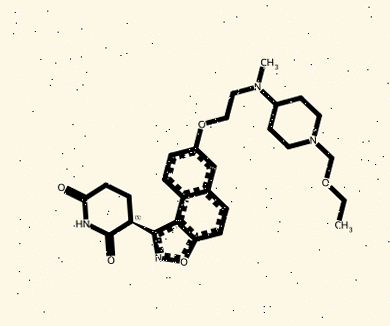 CCOCN1CCC(N(C)CCOc2ccc3c(ccc4onc([C@@H]5CCC(=O)NC5=O)c43)c2)CC1